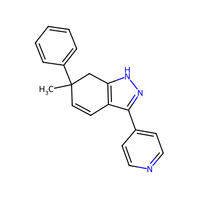 CC1(c2ccccc2)C=Cc2c(-c3ccncc3)n[nH]c2C1